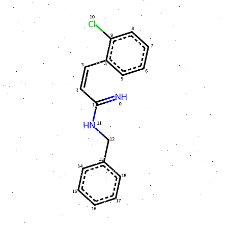 N=C(/C=C\c1ccccc1Cl)NCc1ccccc1